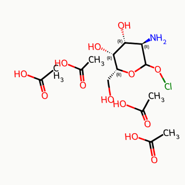 CC(=O)O.CC(=O)O.CC(=O)O.CC(=O)O.N[C@H]1C(OCl)O[C@H](CO)[C@H](O)[C@@H]1O